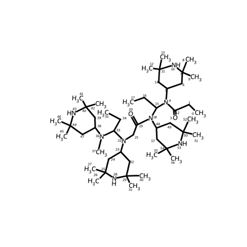 CCC(=O)N(C1CC(C)(C)NC(C)(C)C1)C(CC)N(C(=O)CN(C1CC(C)(C)NC(C)(C)C1)C(CC)N(C)C1CC(C)(C)NC(C)(C)C1)C1CC(C)(C)NC(C)(C)C1